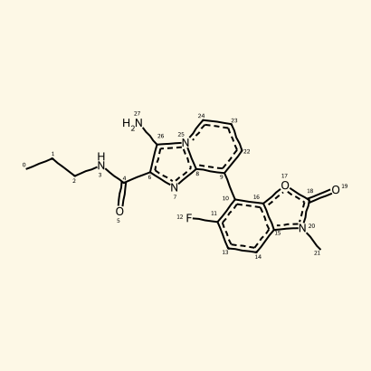 CCCNC(=O)c1nc2c(-c3c(F)ccc4c3oc(=O)n4C)cccn2c1N